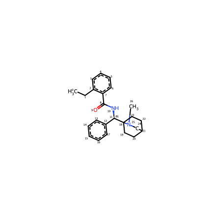 CCc1ccccc1C(=O)N[C@H](c1ccccc1)C12CCC(CC1)CN2C